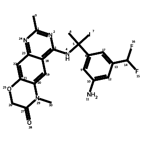 Cc1nc(NC(C)(I)c2cc(N)cc(C(F)F)c2)c2cc3c(cc2n1)OCC(=O)N3C